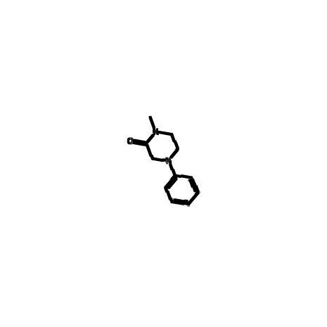 CN1CCN(c2cc[c]cc2)CC1=O